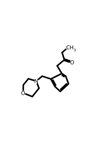 CCC(=O)Cc1ccccc1CN1CCOCC1